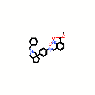 COC(=O)c1cccc(/C=N/c2ccc(C34CCCC3CN(Cc3ccccc3)C4)cc2)c1[N+](=O)[O-]